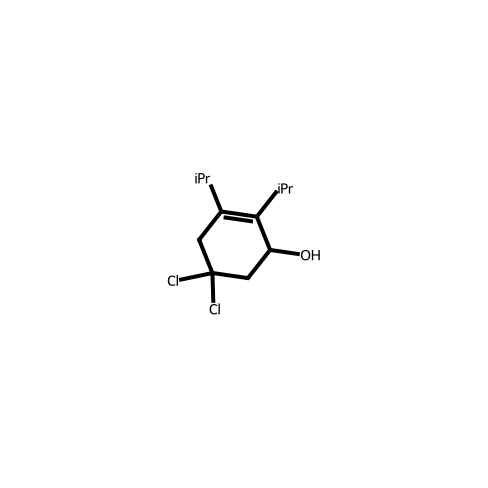 CC(C)C1=C(C(C)C)C(O)CC(Cl)(Cl)C1